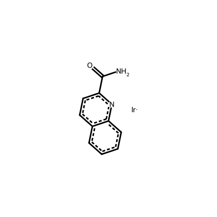 NC(=O)c1ccc2ccccc2n1.[Ir]